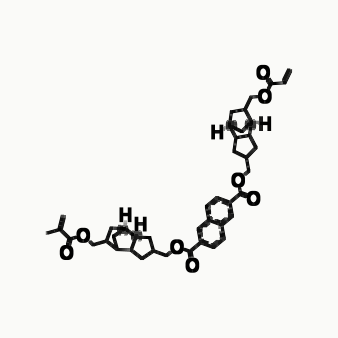 C=CC(=O)OCC1C[C@H]2C[C@@H]1C1CC(COC(=O)c3ccc4cc(C(=O)OCC5CC6C7C[C@@H](CC7COC(=O)C(=C)C)[C@H]6C5)ccc4c3)CC12